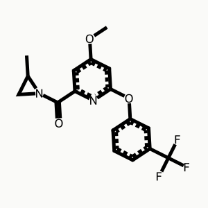 COc1cc(Oc2cccc(C(F)(F)F)c2)nc(C(=O)N2CC2C)c1